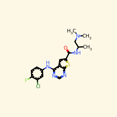 CC(CN(C)C)NC(=O)c1cc2c(Nc3ccc(F)c(Cl)c3)ncnc2s1